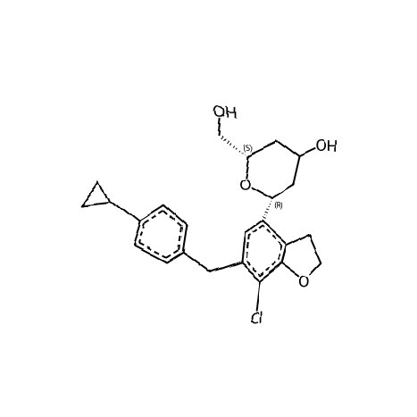 OC[C@@H]1CC(O)C[C@H](c2cc(Cc3ccc(C4CC4)cc3)c(Cl)c3c2CCO3)O1